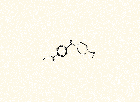 COC(=O)c1ccc(C(=O)N2CCN(C(=O)O)CC2)cc1